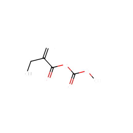 C=C(CC)C(=O)OC(=O)OC